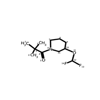 CC(C)(C)C(=O)N1CCCC(OC(F)F)C1